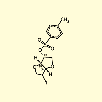 Cc1ccc(S(=O)(=O)O[C@@H]2CO[C@@H]3C(I)CO[C@@H]32)cc1